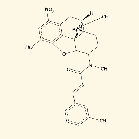 Cc1cccc(/C=C/C(=O)N(C)C2CC[C@@]3(O)[C@H]4Cc5c([N+](=O)[O-])cc(O)c6c5[C@@]3(CCN4C)C2O6)c1